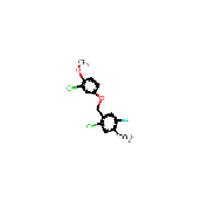 O=C(O)c1cc(Cl)c(COc2ccc(OC(F)(F)F)c(Cl)c2)cc1F